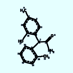 Cc1ccc(N(C(N)=O)c2ccccc2C)c(O)c1